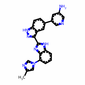 Cc1cn(-c2cccc3[nH]c(-c4n[nH]c5ccc(-c6cncc(N)c6)cc45)nc23)cn1